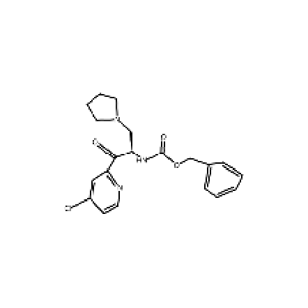 O=C(N[C@H](CN1CCCC1)C(=O)c1cc(Cl)ccn1)OCc1ccccc1